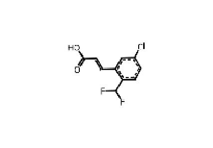 O=C(O)C=Cc1cc(Cl)ccc1C(F)F